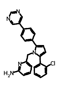 Nc1cccc(Cn2c(-c3ccc(-c4cncnc4)cc3)ccc2-c2ccccc2Cl)n1